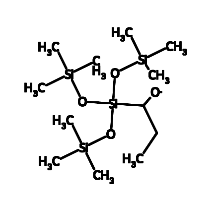 CCC([O])[Si](O[Si](C)(C)C)(O[Si](C)(C)C)O[Si](C)(C)C